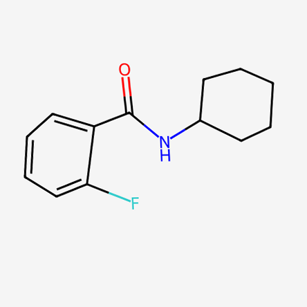 O=C(NC1CCCCC1)c1ccccc1F